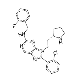 Fc1ccccc1CNc1ncc2nc(-c3ccccc3Cl)n(CC[C@@H]3CCCN3)c2n1